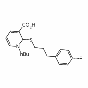 CCCCN1C=CC=C(C(=O)O)C1SCCCc1ccc(F)cc1